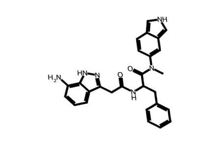 CN(C(=O)C(Cc1ccccc1)NC(=O)Cc1n[nH]c2c(N)cccc12)c1ccc2c[nH]cc2c1